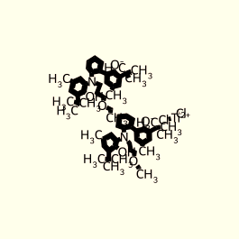 CCOCCCN(c1ccccc1-c1cc(C)cc(C(C)(C)C)c1[O-])c1cc(C)cc(C(C)(C)C)c1O.CCOCCCN(c1ccccc1-c1cc(C)cc(C(C)(C)C)c1[O-])c1cc(C)cc(C(C)(C)C)c1O.[Cl][Ti+2][Cl]